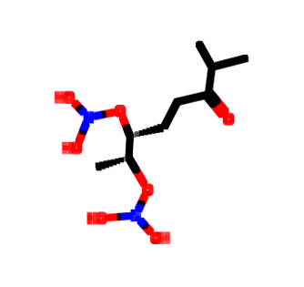 CC(C)C(=O)CC[C@@H](ON(O)O)[C@@H](C)ON(O)O